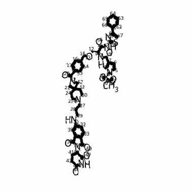 CS(=O)(=O)n1ccc(C(=O)N[C@@H](COCc2ccc(C(=O)N3CC4(CCN(CCCNc5ccc6c(c5)C(=O)N(C5CCC(=O)NC5=O)C6=O)CC4)C3)cc2)C(=O)Nc2nc(-c3ccccc3)cs2)c1